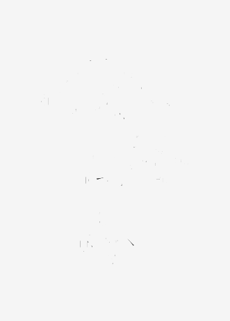 C[C@H](C/C=C/[C@@H](O)[C@]1(C)CC[C@H]1CN1CC2(CCCc3cc(Cl)ccc32)COc2ccc(C(=O)OC(C)(C)C)cc21)S(N)(=O)=O